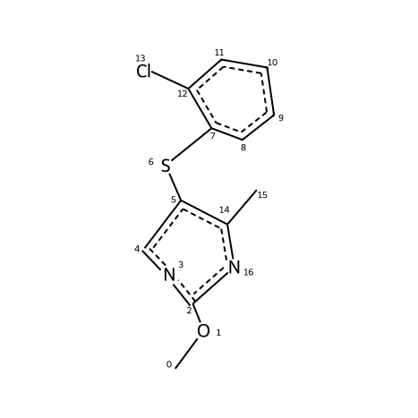 COc1ncc(Sc2ccccc2Cl)c(C)n1